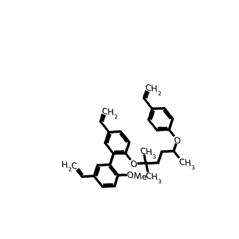 C=Cc1ccc(OC(C)CCC(C)(C)Oc2ccc(C=C)cc2-c2cc(C=C)ccc2OC)cc1